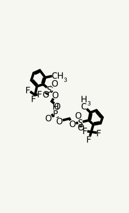 Cc1cccc(C(F)(F)F)c1S(=O)(=O)OCO[PH](=O)OCOS(=O)(=O)c1c(C)cccc1C(F)(F)F